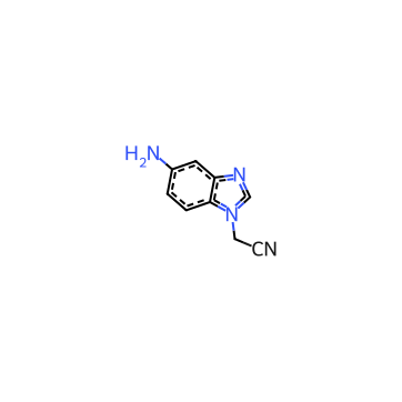 N#CCn1cnc2cc(N)ccc21